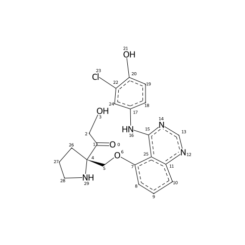 O=C(CO)[C@@]1(COc2cccc3ncnc(Nc4ccc(O)c(Cl)c4)c23)CCCN1